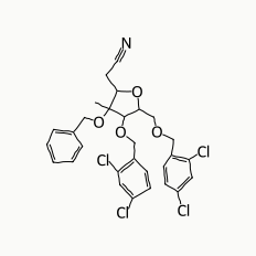 CC1(OCc2ccccc2)C(CC#N)OC(COCc2ccc(Cl)cc2Cl)C1OCc1ccc(Cl)cc1Cl